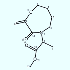 C=C1CCCCCN(C(C)C(=O)OC)C1=O